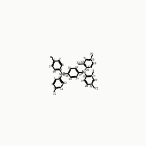 Cc1ccc(N(c2ccc(C)cc2)c2ccc(N(c3ccc(C)cc3C)c3ccc(C)cc3C)cc2)cc1